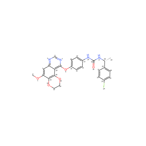 COc1cc2ncnc(Oc3ccc(NC(=O)N[C@H](C)c4ccc(F)cc4)cc3)c2c2c1OCCO2